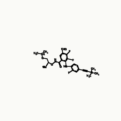 C[SiH](C)OCC(ONC(=O)c1cc(C=O)c(F)c(F)c1Nc1ccc(C#C[Si](C)(C)C)cc1F)C(C)(C)C